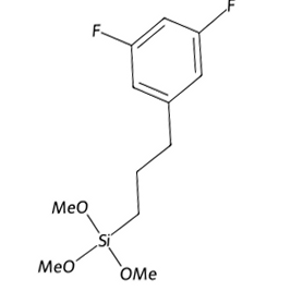 CO[Si](CCCc1cc(F)cc(F)c1)(OC)OC